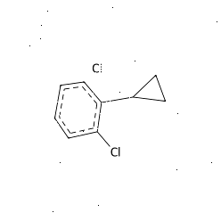 Clc1ccccc1C1CC1.[C]